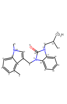 Cc1cccc2c1c(Cn1c(=O)n(CC(C)C(=O)O)c3ccccc31)cn2C